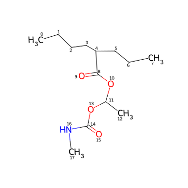 CCCCC(CCC)C(=O)OC(C)OC(=O)NC